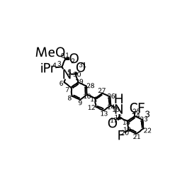 COC(=O)C(C(C)C)N1Cc2ccc(-c3ccc(NC(=O)c4c(F)cccc4C(F)(F)F)cc3)cc2C1=O